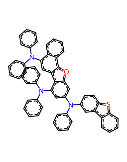 c1ccc(N(c2cc(N(c3ccccc3)c3ccccc3)c3c(c2)oc2c4ccccc4c(N(c4ccccc4)c4ccccc4)cc23)c2ccc3sc4ccccc4c3c2)cc1